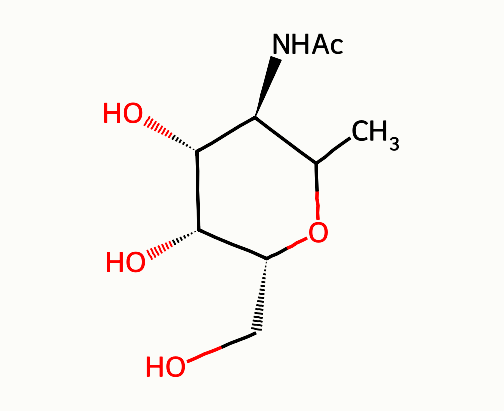 CC(=O)N[C@H]1C(C)O[C@H](CO)[C@H](O)[C@@H]1O